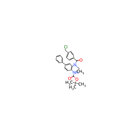 CCN(C(=O)c1ccc(CCl)cc1)c1cc(-c2ccccc2)ccc1NC(=O)OC(C)(C)C